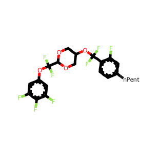 CCCCCc1ccc(C(F)(F)OC2COC(C(F)(F)Oc3cc(F)c(F)c(F)c3)OC2)c(F)c1